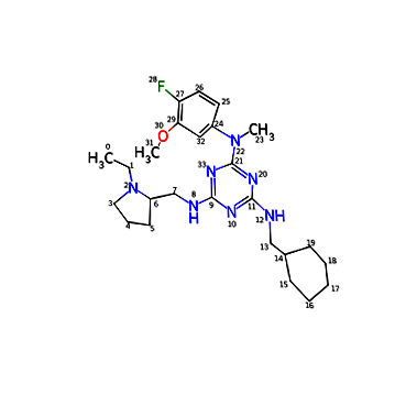 CCN1CCCC1CNc1nc(NCC2CCCCC2)nc(N(C)c2ccc(F)c(OC)c2)n1